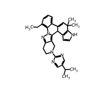 CCc1cccc2c1-n1nc3c(c1C1C2=CC(C)(C)c2[nH]ccc21)CN(c1ncc(C(C)C)cn1)CC3